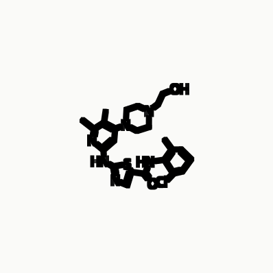 Cc1cccc(Cl)c1NC(=O)c1cnc(Nc2cc(N3CCN(CCO)CC3)c(C)c(C)n2)s1